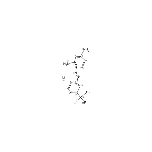 Nc1ccc(N=Nc2cccc(C(F)(F)F)c2)c(N)c1.[Li]